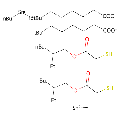 CC(C)(C)CCCCCC(=O)[O-].CC(C)(C)CCCCCC(=O)[O-].CCCCC(CC)COC(=O)CS.CCCCC(CC)COC(=O)CS.CCC[CH2][Sn][CH2]CCC.[CH3][Sn+2][CH3]